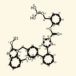 CCOc1nc2cccc(C(=O)O)c2n1Cc1ccc(-c2ccccc2-c2nnn(C(=O)Oc3ccccc3CON(O)O)n2)cc1